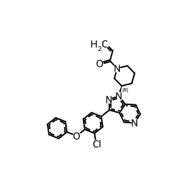 C=CC(=O)N1CCC[C@@H](n2nc(-c3ccc(Oc4ccccc4)c(Cl)c3)c3cnccc32)C1